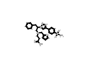 NS(=O)(=O)c1ccc(-c2cn(C(Cc3ccccc3)CN(CCC(=O)O)Cc3ccco3)nn2)cc1